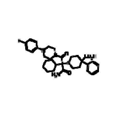 NC(=O)C(C(=O)N1CCN(c2ccc(F)cc2)CC1)(C1CCCCC1)N1CCC(C(=O)O)(c2ccccc2)CC1